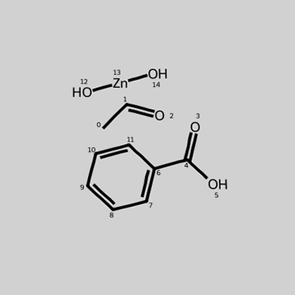 CC=O.O=C(O)c1ccccc1.[OH][Zn][OH]